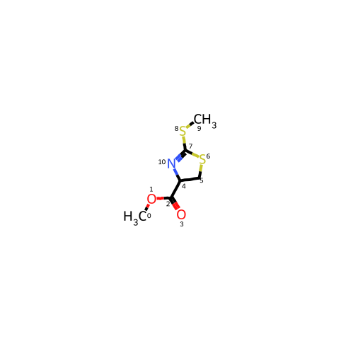 COC(=O)C1CSC(SC)=N1